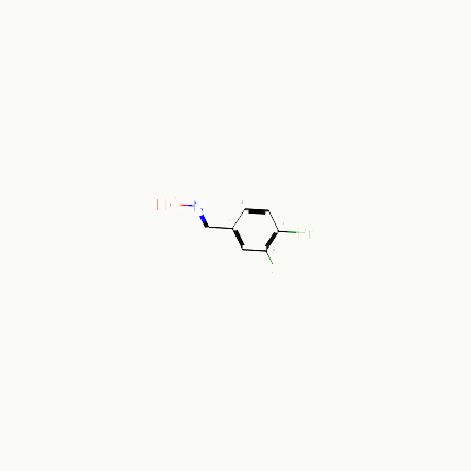 ON=Cc1ccc(Br)c(Cl)c1